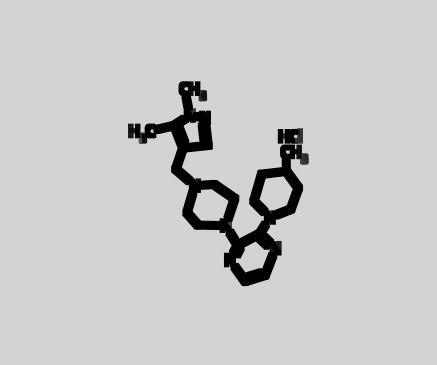 Cc1c(CN2CCN(c3nccnc3N3CCC(C)CC3)CC2)cnn1C.Cl